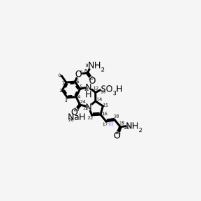 Cc1ccc2c(c1OC(N)=O)NC(S(=O)(=O)O)C1CC(/C=C/C(N)=O)=CN1C2=O.[NaH]